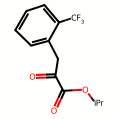 CC(C)OC(=O)C(=O)Cc1ccccc1C(F)(F)F